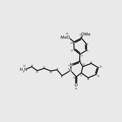 COc1ccc(C2=NN(CCCCCCN)C(=O)C3CC=CCC23)cc1OC